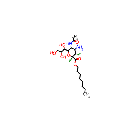 CCCCCCCCOC(=O)[C@]1(F)OC([C@H](O)[C@H](O)CO)[C@H](NC(C)=O)C(N)[C@@H]1F